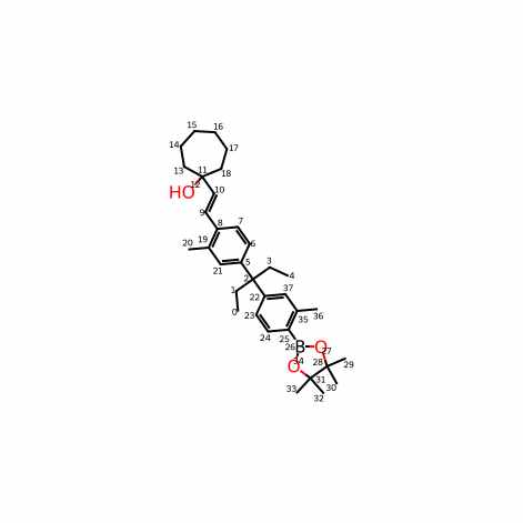 CCC(CC)(c1ccc(C=CC2(O)CCCCCC2)c(C)c1)c1ccc(B2OC(C)(C)C(C)(C)O2)c(C)c1